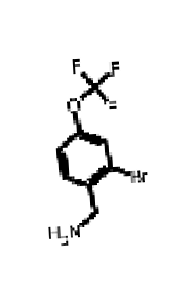 NCc1ccc(OC(F)(F)F)cc1Br